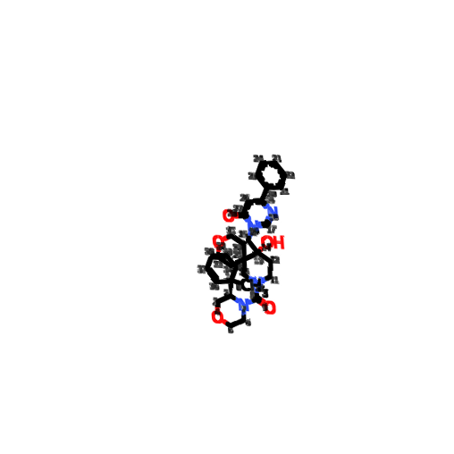 CC1([C@@H]2COCCN2C(=O)N2CCC(O)(Cn3cnc(-c4ccccc4)cc3=O)C3(CCOCC3)C2)C=CC=CC1